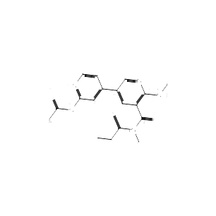 C=C(CC)N(C)C(=O)c1cc(-c2ccnc(NC(C)=O)c2)cnc1NC